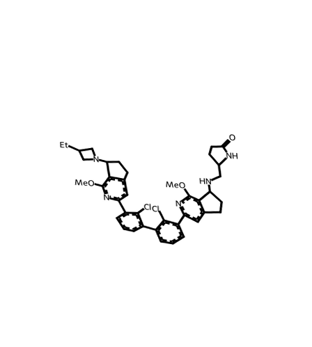 CCC1CN(C2CCc3cc(-c4cccc(-c5cccc(-c6cc7c(c(OC)n6)C(NCC6CCC(=O)N6)CC7)c5Cl)c4Cl)nc(OC)c32)C1